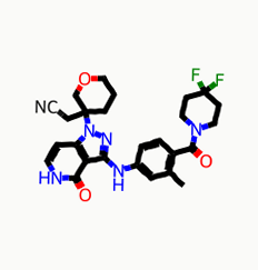 Cc1cc(Nc2nn(C3(CC#N)CCCOC3)c3cc[nH]c(=O)c23)ccc1C(=O)N1CCC(F)(F)CC1